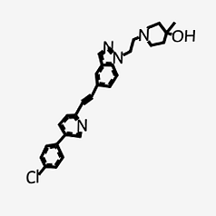 CC1(O)CCN(CCn2ncc3cc(C#Cc4ccc(-c5ccc(Cl)cc5)cn4)ccc32)CC1